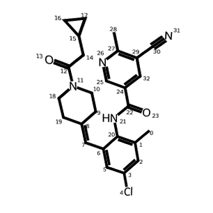 Cc1cc(Cl)cc(C=C2CCN(C(=O)CC3CC3)CC2)c1NC(=O)c1cnc(C)c(C#N)c1